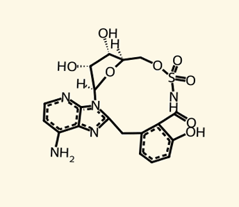 Nc1ccnc2c1nc1n2[C@@H]2O[C@H](COS(=O)(=O)NC(=O)c3c(O)cccc3C1)[C@@H](O)[C@H]2O